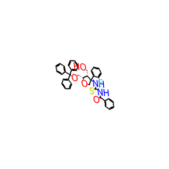 O=C(NC(=S)N[C@@]1(c2ccccc2F)CO[C@H](COC(c2ccccc2)(c2ccccc2)c2ccccc2)[C@@H]1CO)c1ccccc1